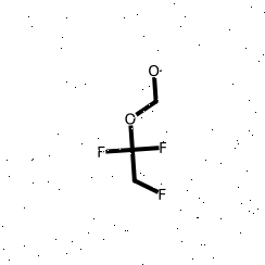 [O]COC(F)(F)CF